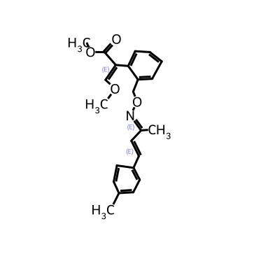 CO/C=C(/C(=O)OC)c1ccccc1CO/N=C(C)/C=C/c1ccc(C)cc1